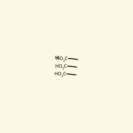 CC(=O)O.CC(=O)O.CC(=O)O.I